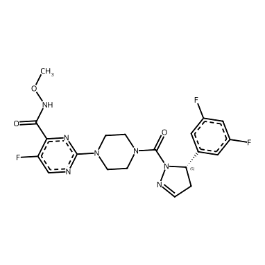 CONC(=O)c1nc(N2CCN(C(=O)N3N=CC[C@H]3c3cc(F)cc(F)c3)CC2)ncc1F